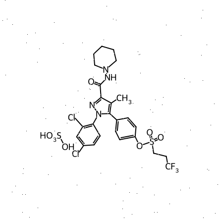 Cc1c(C(=O)NN2CCCCC2)nn(-c2ccc(Cl)cc2Cl)c1-c1ccc(OS(=O)(=O)CCC(F)(F)F)cc1.O=S(=O)(O)O